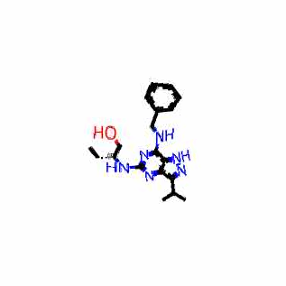 CC[C@H](CO)Nc1nc(NCc2ccccc2)c2[nH]nc(C(C)C)c2n1